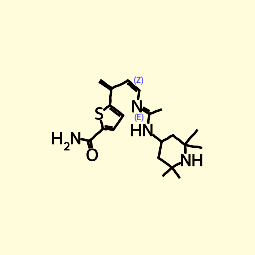 C=C(/C=C\N=C(/C)NC1CC(C)(C)NC(C)(C)C1)c1ccc(C(N)=O)s1